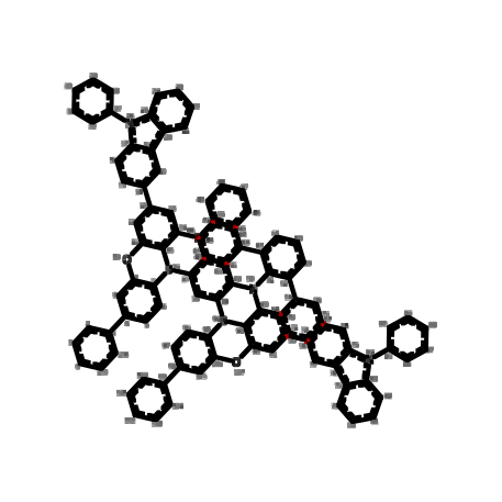 c1ccc(-c2ccc3c(c2)Oc2cc(-c4ccc5c(c4)c4ccccc4n5-c4ccccc4)cc4c2B3c2cc3c(cc2N4c2ccccc2)N(c2c(-c4ccccc4)cccc2-c2ccccc2)c2cc(-c4ccc5c(c4)c4ccccc4n5-c4ccccc4)cc4c2B3c2ccc(-c3ccccc3)cc2O4)cc1